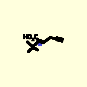 C#CC/C=C(\C(=O)O)[Si](C)(C)C